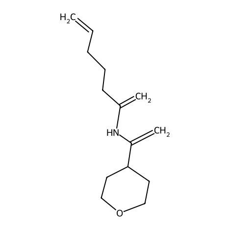 C=CCCCC(=C)NC(=C)C1CCOCC1